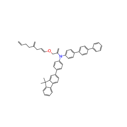 C=CCCC(=C)C/C=C/OCC(=C)N(c1ccc(-c2ccc(-c3ccccc3)cc2)cc1)c1ccc(-c2ccc3c(c2)C(C)(C)c2ccccc2-3)cc1